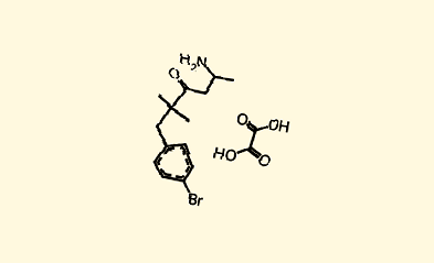 CC(N)CC(=O)C(C)(C)Cc1ccc(Br)cc1.O=C(O)C(=O)O